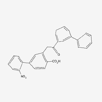 O=C(Cc1cc(-c2ccccc2[N+](=O)[O-])ccc1C(=O)O)C1=CCC=CC(c2ccccc2)=C1